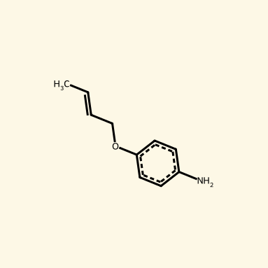 CC=CCOc1ccc(N)cc1